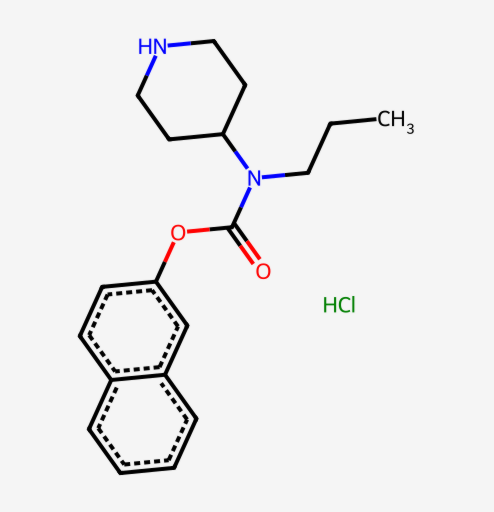 CCCN(C(=O)Oc1ccc2ccccc2c1)C1CCNCC1.Cl